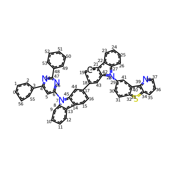 c1ccc(-c2cc(-n3c4ccccc4c4ccc(-c5ccc6c7ccccc7n(-c7ccc8sc9cccnc9c8c7)c6c5)cc43)nc(-c3ccccc3)n2)cc1